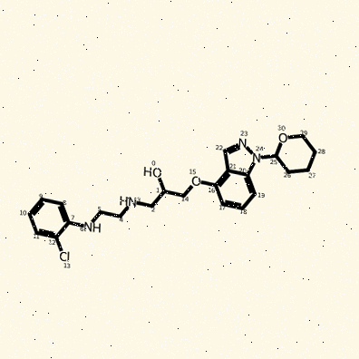 OC(CNCCNc1ccccc1Cl)COc1cccc2c1cnn2C1CCCCO1